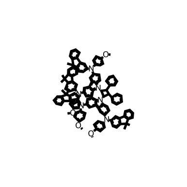 COc1ccc(N(c2ccc3c(c2)-c2ccccc2C3(C)C)c2ccc3c(c2)c2cc(N(c4ccc(OC)cc4)c4ccc5c(c4)-c4ccccc4C5(C)C)ccc2n3C2C(c3ccccc3)C(c3ccccc3)C2n2c3ccc(N(c4ccc(OC)cc4)c4ccc5c(c4)-c4ccccc4C5(C)C)cc3c3cc(N(c4ccc(OC)cc4)c4ccc5c(c4)-c4ccccc4C5(C)C)ccc32)cc1